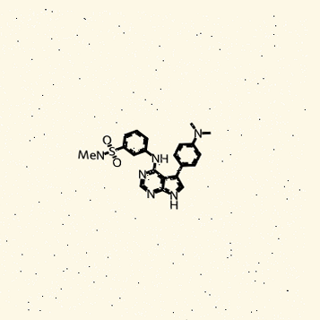 CNS(=O)(=O)c1cccc(Nc2ncnc3[nH]cc(-c4ccc(N(C)C)cc4)c23)c1